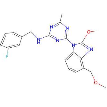 COCc1cccc2c1nc(OC)n2-c1nc(C)nc(NCc2cccc(F)c2)n1